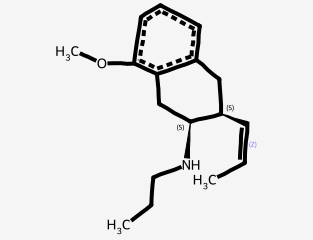 C/C=C\[C@@H]1Cc2cccc(OC)c2C[C@@H]1NCCC